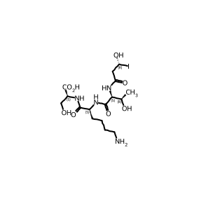 C[C@@H](O)[C@H](NC(=O)C[C@H](O)I)C(=O)N[C@@H](CCCCN)C(=O)N[C@@H](CO)C(=O)O